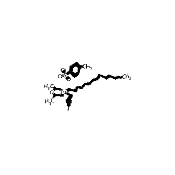 CCCCCCCCCCCCCC[N+]1(CC#CI)CC(C)OC(C)C1.Cc1ccc(S(=O)(=O)[O-])cc1